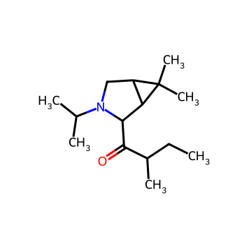 CCC(C)C(=O)C1C2C(CN1C(C)C)C2(C)C